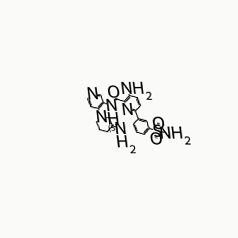 Nc1ccc(-c2cccc(S(N)(=O)=O)c2)nc1C(=O)Nc1cnccc1N1CCC[C@H](N)C1